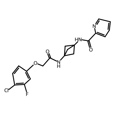 O=C(COc1ccc(Cl)c(F)c1)NC12CC(NC(=O)c3ccccn3)(C1)C2